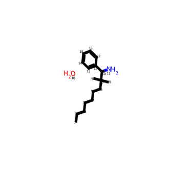 CCCCCCCC(C)(C)C(N)c1ccccc1.O